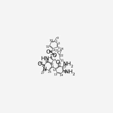 Cc1ccc(S(=O)(=O)c2cc3c(-c4ccc(N)c(N)c4OCC4CC4)cn(C)c(=O)c3[nH]2)cc1